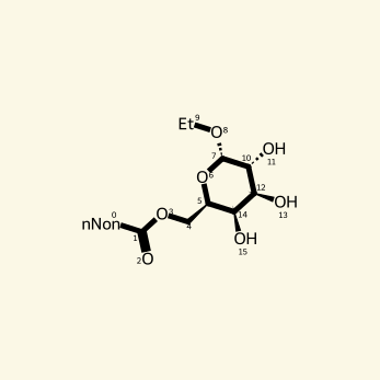 CCCCCCCCCC(=O)OC[C@H]1O[C@H](OCC)[C@H](O)[C@@H](O)[C@H]1O